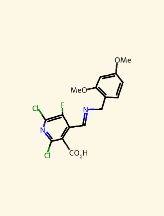 COc1ccc(CN=Cc2c(F)c(Cl)nc(Cl)c2C(=O)O)c(OC)c1